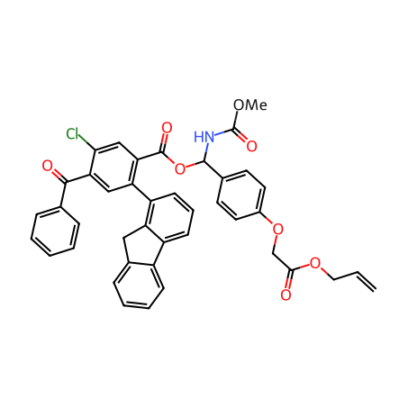 C=CCOC(=O)COc1ccc(C(NC(=O)OC)OC(=O)c2cc(Cl)c(C(=O)c3ccccc3)cc2-c2cccc3c2Cc2ccccc2-3)cc1